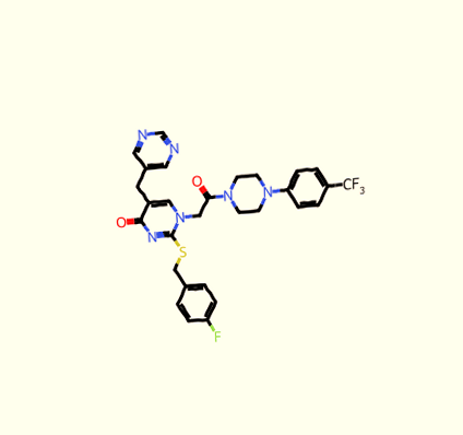 O=C(Cn1cc(Cc2cncnc2)c(=O)nc1SCc1ccc(F)cc1)N1CCN(c2ccc(C(F)(F)F)cc2)CC1